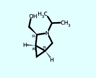 CC(C)N1C[C@H]2C[C@H]2[C@H]1CO